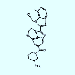 Cc1cccc2cc(-c3nc4cc(C(=O)N5CCC[C@@H](N)C5)cc5c4n3CCN5)n(CC3CC3)c12